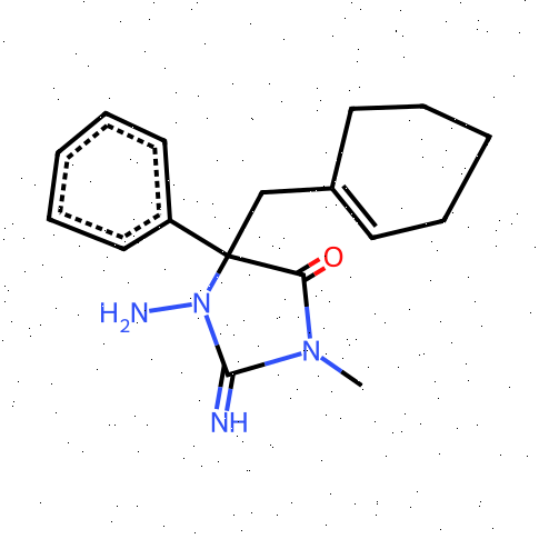 CN1C(=N)N(N)C(CC2=CCCCC2)(c2ccccc2)C1=O